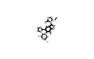 CC[C@H]1COC(=O)N1c1noc2c(F)c(N3C[C@@H](C)O[C@@H](C)C3)c(C3OCCO3)cc12